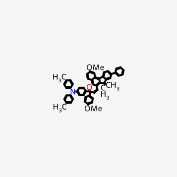 COc1ccc(C2(c3ccc(N(c4ccc(C)cc4)c4ccc(C)cc4)cc3)C=Cc3c4c(c5cc(OC)ccc5c3O2)-c2ccc(-c3ccccc3)cc2C4(C)C)cc1